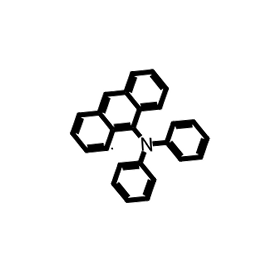 [c]1cccc2cc3ccccc3c(N(c3ccccc3)c3ccccc3)c12